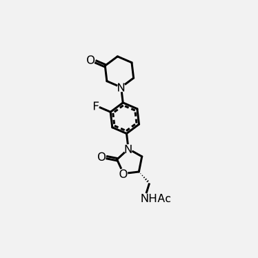 CC(=O)NC[C@H]1CN(c2ccc(N3CCCC(=O)C3)c(F)c2)C(=O)O1